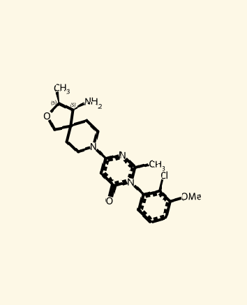 COc1cccc(-n2c(C)nc(N3CCC4(CC3)CO[C@@H](C)[C@H]4N)cc2=O)c1Cl